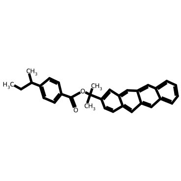 CCC(C)c1ccc(C(=O)OC(C)(C)c2ccc3cc4cc5ccccc5cc4cc3c2)cc1